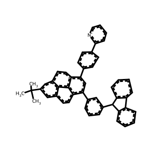 CC(C)(C)c1cc2ccc3c(-c4ccc(-c5ccccn5)cc4)cc(-c4cccc(C5c6ccccc6-c6ccccc65)c4)c4ccc(c1)c2c34